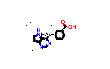 O=C(O)c1cccc([AsH]c2ncnc3cc[nH]c23)c1